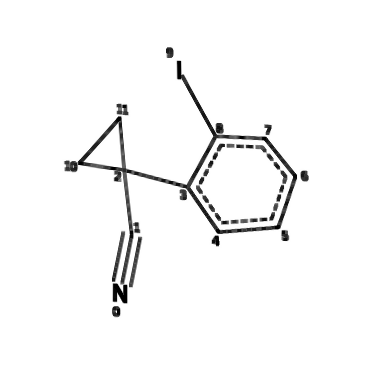 N#CC1(c2ccccc2I)CC1